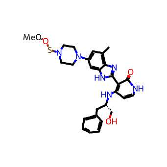 COOSN1CCN(c2cc(C)c3nc(-c4c(N[C@H](CO)Cc5ccccc5)cc[nH]c4=O)[nH]c3c2)CC1